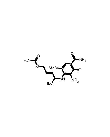 COc1cc(C(N)=O)c(F)c([N+](=O)[O-])c1NC(C=CCOC(N)=O)C(C)(C)C